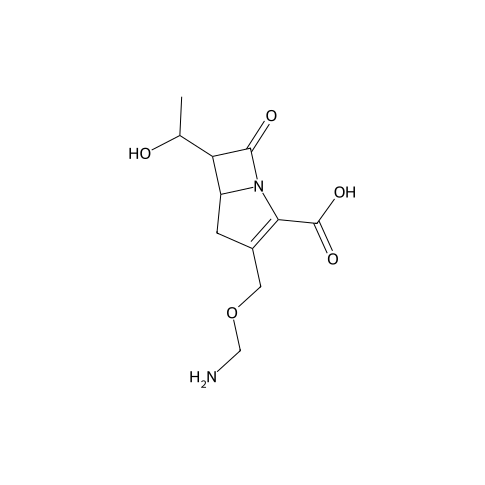 CC(O)C1C(=O)N2C(C(=O)O)=C(COCN)CC12